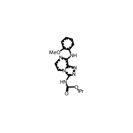 COc1ccccc1Nc1nccn2c(NC(=O)OC(C)C)nnc12